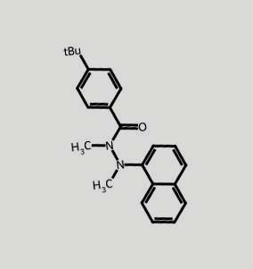 CN(C(=O)c1ccc(C(C)(C)C)cc1)N(C)c1cccc2ccccc12